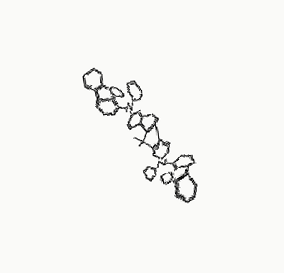 CC1(C)c2cc(N(c3ccccc3)c3cccc4c3oc3ccccc34)ccc2-c2ccc3cc(N(c4ccccc4)c4cccc5c4oc4ccccc45)ccc3c21